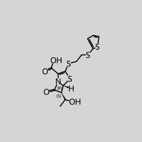 CC(O)[C@H]1C(=O)N2C(C(=O)O)=C(SCCSc3cccs3)S[C@H]12